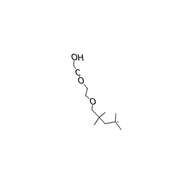 C[C](C)CC(C)(C)COCCOCCO